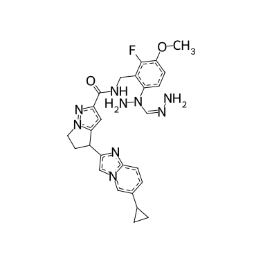 COc1ccc(N(N)/C=N\N)c(CNC(=O)c2cc3n(n2)CCC3c2cn3cc(C4CC4)ccc3n2)c1F